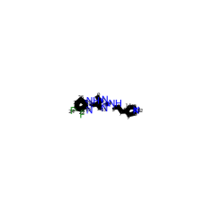 Cc1nc(NCCCC2CCN(C)CC2)ncc1-c1nc2c(F)c(F)ccc2[nH]1